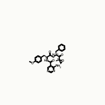 COc1ccc(C[C@H](NC(=O)c2cncnc2N)C(=O)N[C@@H](Cc2ccccc2)C(=O)[C@@]2(C)CO2)cc1